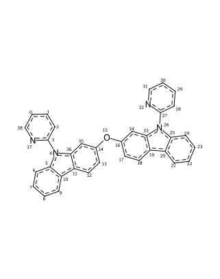 c1ccc(-n2c3ccccc3c3ccc(Oc4ccc5c6ccccc6n(-c6ccccn6)c5c4)cc32)nc1